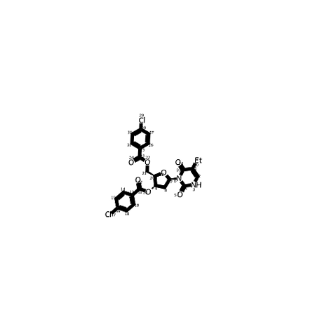 CCc1c[nH]c(=O)n([C@H]2C[C@H](OC(=O)c3ccc(Cl)cc3)[C@@H](COC(=O)c3ccc(Cl)cc3)O2)c1=O